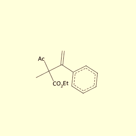 C=C(c1ccccc1)C(C)(C(C)=O)C(=O)OCC